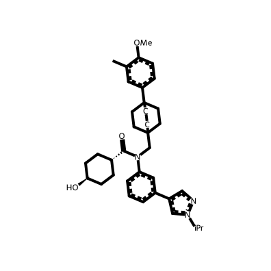 COc1ccc(C23CCC(CN(c4cccc(-c5cnn(C(C)C)c5)c4)C(=O)[C@H]4CC[C@H](O)CC4)(CC2)CC3)cc1C